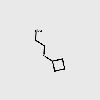 CCCCCCSC1CCC1